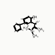 C=C(C(=O)c1cc(-c2ccccc2)ccc1O)N(C)C